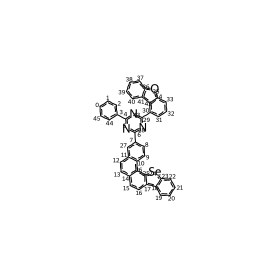 c1ccc(-c2nc(-c3ccc4c(ccc5ccc6c7ccccc7[se]c6c54)c3)nc(-c3cccc4oc5ccccc5c34)n2)cc1